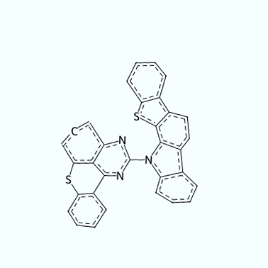 c1ccc2c(c1)Sc1cccc3nc(-n4c5ccccc5c5ccc6c7ccccc7sc6c54)nc-2c13